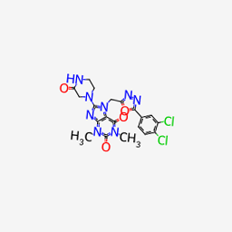 Cn1c(=O)c2c(nc(N3CCNC(=O)C3)n2Cc2nnc(-c3ccc(Cl)c(Cl)c3)o2)n(C)c1=O